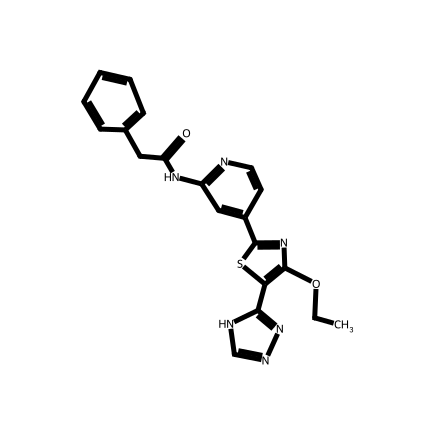 CCOc1nc(-c2ccnc(NC(=O)Cc3ccccc3)c2)sc1-c1nnc[nH]1